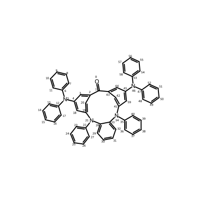 O=C1c2cc(N(c3ccccc3)c3ccccc3)cc(c2)N(c2ccccc2)c2ccccc2N(c2ccccc2)c2cc1cc(N(c1ccccc1)c1ccccc1)c2